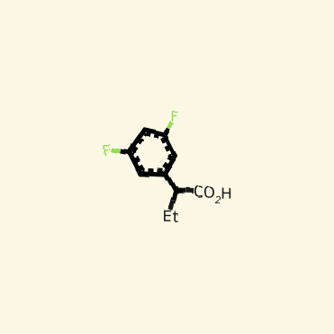 CCC(C(=O)O)c1cc(F)cc(F)c1